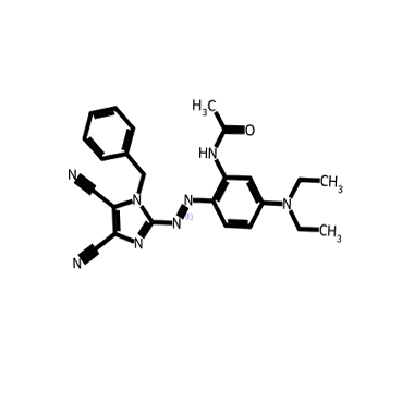 CCN(CC)c1ccc(/N=N/c2nc(C#N)c(C#N)n2Cc2ccccc2)c(NC(C)=O)c1